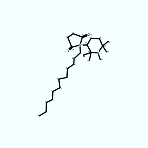 CCCCCCCCCCCC[N+]1(C2CCC(C)(C)N(C)C2(C)C)C(=O)CCC1=O